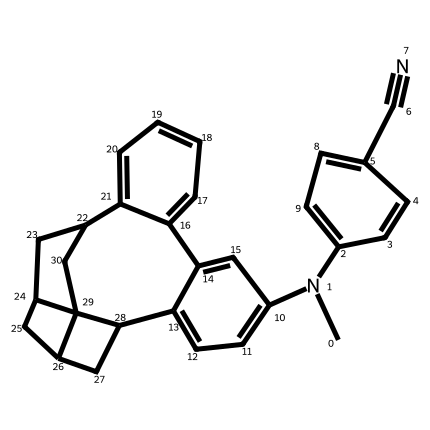 CN(c1ccc(C#N)cc1)c1ccc2c(c1)-c1ccccc1C1CC3CC4CC2C34C1